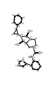 O=C(Nc1ccccc1-c1cnco1)N1CCN2C(=O)N(C3CC3c3ccccc3)C(=O)C2C1